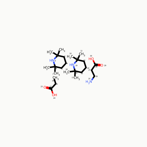 CC1(C)CCCC(C)(C)N1.CC1(C)CCCC(C)(C)N1.CCC(=O)O.NCCC(=O)O